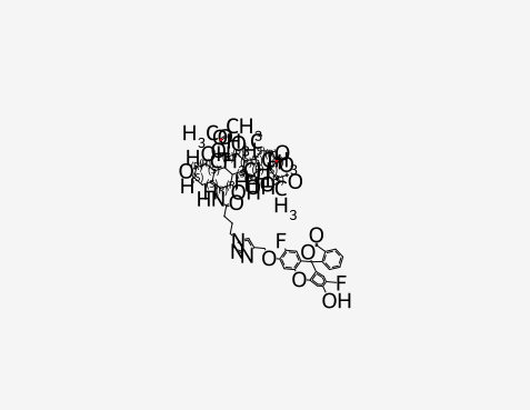 CC(=O)O[C@H]1C2C([C@@H](O)[C@H](NC(=O)CCCn3cc(COc4cc5c(cc4F)C4(OC(=O)c6ccccc64)c4cc(F)c(O)cc4O5)nn3)[C@H]3C[C@@H]4O[C@@H]4[C@H](O)[C@]23C)[C@@H]2[C@@H](O)[C@@H]3[C@H]([C@H](C)[C@H]4O[C@]45OC(=O)[C@@](C)(O)[C@]35C)[C@@]2(C)[C@H]1OC(C)=O